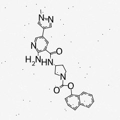 Cn1cc(-c2cnc(N)c(C(=O)N[C@@H]3CCN(C(=O)Oc4cccc5ccccc45)C3)c2)cn1